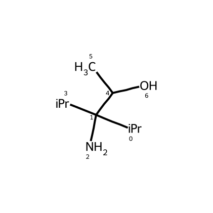 CC(C)C(N)(C(C)C)C(C)O